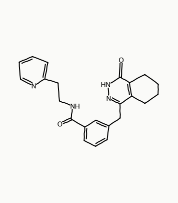 O=C(NCCc1ccccn1)c1cccc(Cc2n[nH]c(=O)c3c2CCCC3)c1